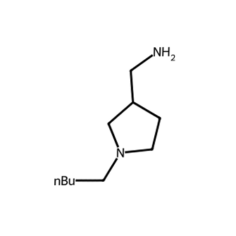 CCCCCN1CCC(CN)C1